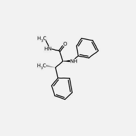 CNC(=O)[C@@H](Nc1ccccc1)[C@@H](C)c1ccccc1